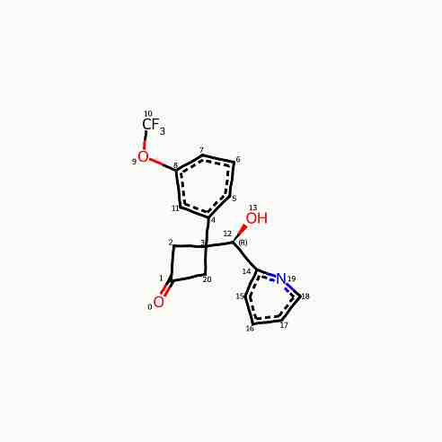 O=C1CC(c2cccc(OC(F)(F)F)c2)([C@@H](O)c2ccccn2)C1